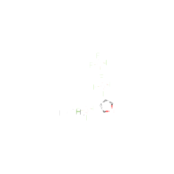 C.F[B-](F)(F)F.F[B-](F)(F)F.F[B-](F)(F)F.[KH].c1ccoc1